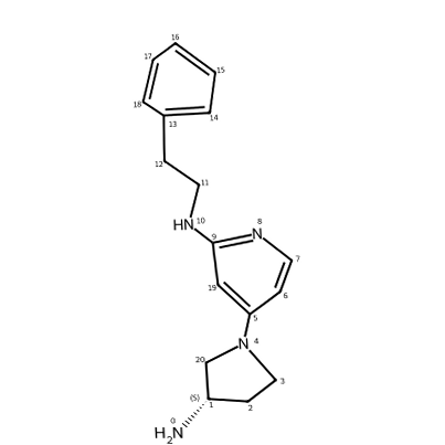 N[C@H]1CCN(c2ccnc(NCCc3ccccc3)c2)C1